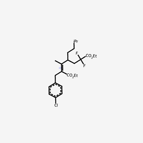 CCOC(=O)/C(Cc1ccc(Cl)cc1)=C(/C)C(CCC(C)C)CC(F)(F)C(=O)OCC